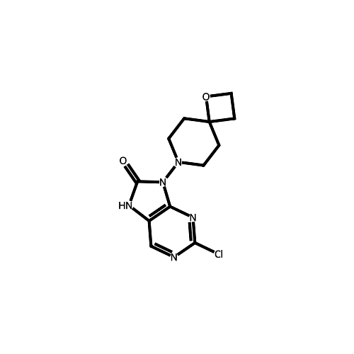 O=c1[nH]c2cnc(Cl)nc2n1N1CCC2(CCO2)CC1